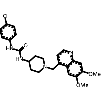 COc1cc2nccc(CN3CCC(NC(=O)Nc4ccc(Cl)cc4)CC3)c2cc1OC